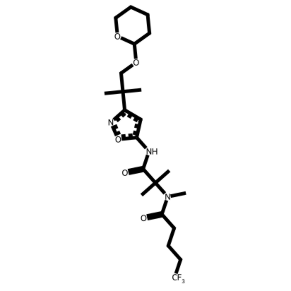 CN(C(=O)CCCC(F)(F)F)C(C)(C)C(=O)Nc1cc(C(C)(C)COC2CCCCO2)no1